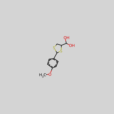 COc1ccc(C2SCC(C(O)O)S2)cc1